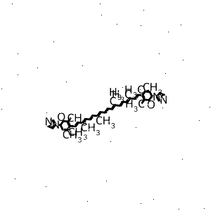 CC1=C(/C=C/C(C)=C/C=C/C(C)=C/C=C/C=C(C)/C=C/C=C(C)/C=C/C2=C(C)C(=O)C(n3ccnc3)CC2(C)C)C(C)(C)CC(n2ccnc2)C1=O